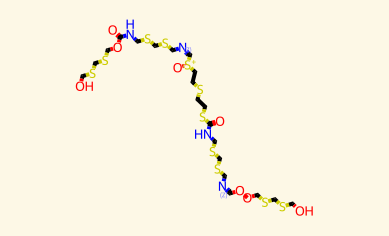 O=C(NCSCSC/N=C\[S+]([O-])CCSCCSC(=O)NCSCSC/N=C\OOCSCSCO)OCSCSCO